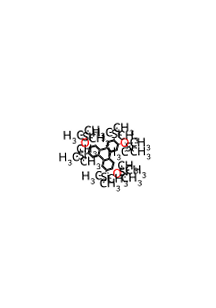 C[Si](C)(C)Oc1cc2c3cc(O[Si](C)(C)C)c([Si](C)(C)C)cc3c3cc([Si](C)(C)C)c(O[Si](C)(C)C)cc3c2cc1[Si](C)(C)C